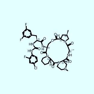 C[C@@H]1C[C@H]2C(=O)OC[C@H](NC(=O)[C@H](Cc3cc(F)cc(F)c3)NC(=O)Nc3ccc(Cl)cc3F)C(=O)N3CCCC[C@H]3C(=O)N3CCN(C)C[C@H]3C(=O)N[C@@H](C)C(=O)N2C1